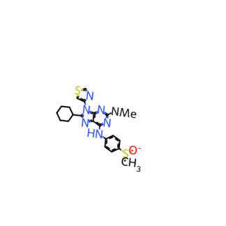 CNc1nc(Nc2ccc([S+](C)[O-])cc2)c2nc(C3CCCCC3)n(-c3cscn3)c2n1